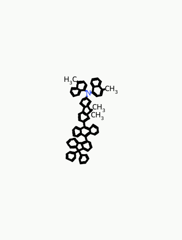 Cc1ccc(N(c2ccc3c(c2)C(C)(C)c2cc(-c4c5ccccc5c(-c5cccc6c5-c5ccccc5C6(c5ccccc5)c5ccccc5)c5ccccc45)ccc2-3)c2ccc(C)c3ccccc23)c2ccccc12